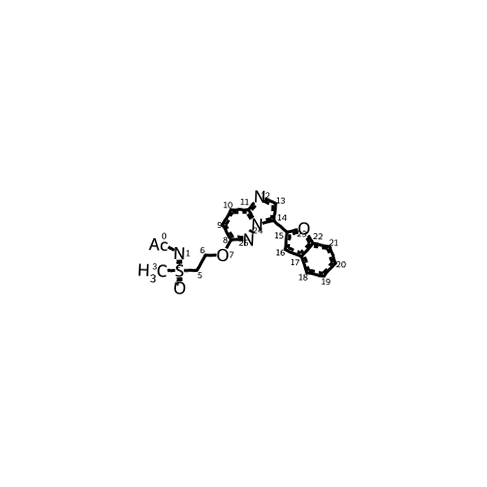 CC(=O)N=S(C)(=O)CCOc1ccc2ncc(-c3cc4ccccc4o3)n2n1